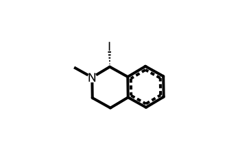 CN1CCc2ccccc2[C@H]1I